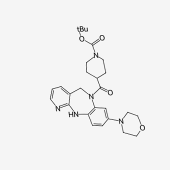 CC(C)(C)OC(=O)N1CCC(C(=O)N2Cc3cccnc3Nc3ccc(N4CCOCC4)cc32)CC1